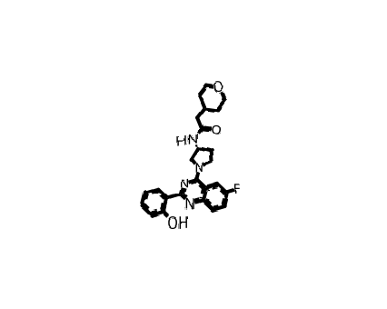 O=C(CC1CCOCC1)N[C@@H]1CCN(c2nc(-c3ccccc3O)nc3ccc(F)cc23)C1